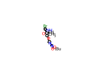 CC(C)(C)OC(=O)N1CC(N2CCC(COC3=CC4=C(CC3)C(=O)c3c([nH]c5cc(Br)ccc35)C4(C)C)CC2)C1